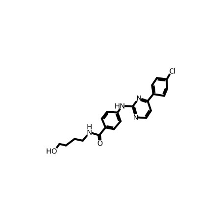 O=C(NCCCCO)c1ccc(Nc2nccc(-c3ccc(Cl)cc3)n2)cc1